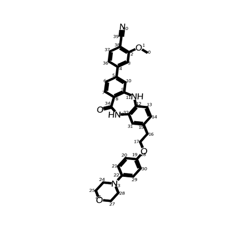 COc1cc(-c2ccc3c(c2)Nc2ccc(CCOc4ccc(N5CCOCC5)cc4)cc2NC3=O)ccc1C#N